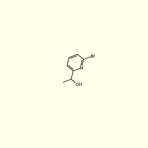 CC(O)c1cccc(Br)n1